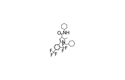 CC1C(C(=O)NC2CCCCC2)C=C(c2ccc(C(F)(F)F)cc2C(F)(F)F)N1CC1CCCCC1